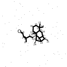 C/C(=C/C=O)CC[C@]12C3C(CC4C(C)(C)CCCC41C)[C@@H](C)C3[C@H]2C